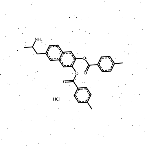 Cc1ccc(C(=O)Oc2cc3ccc(CC(C)N)cc3cc2OC(=O)c2ccc(C)cc2)cc1.Cl